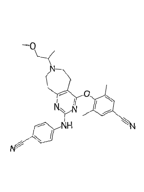 COCC(C)N1CCc2nc(Nc3ccc(C#N)cc3)nc(Oc3c(C)cc(C#N)cc3C)c2CC1